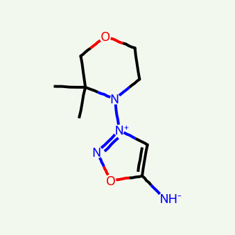 CC1(C)COCCN1[n+]1cc([NH-])on1